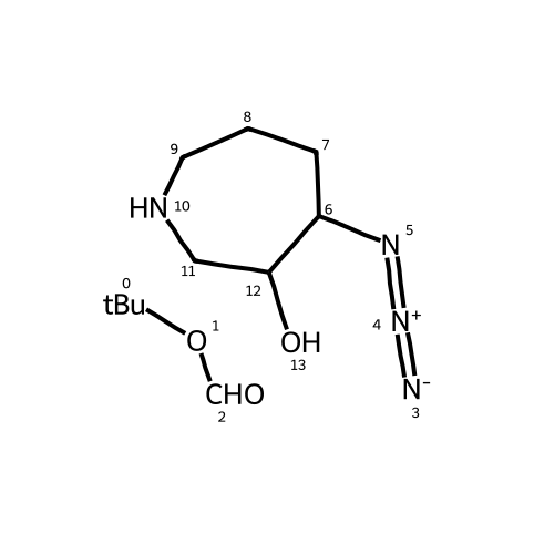 CC(C)(C)OC=O.[N-]=[N+]=NC1CCCNCC1O